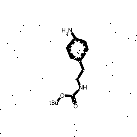 CC(C)(C)OC(=O)N[CH]Cc1ccc(N)cc1